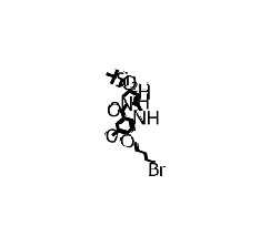 [2H]C1[C@@H](O[Si](C)(C)C(C)(C)C)CN2C(=O)c3cc(OC)c(OCCCCCBr)cc3NC[C@H]12